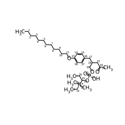 CCCCCCCCCCCCOc1ccc(CC(COP(=O)(O)OC(CC)[N+](C)(C)CC)CC(C)=O)cc1